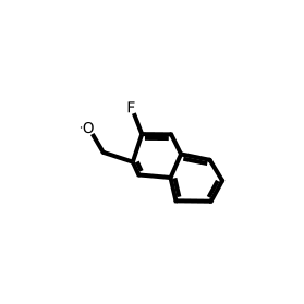 [O]Cc1cc2ccccc2cc1F